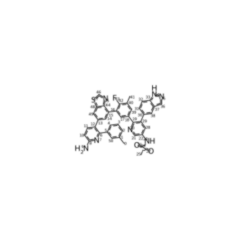 Cc1cccc(-c2nc(N)ccc2-c2cc(-c3cc(-c4ncc(NS(C)(=O)=O)cc4-c4ccc5[nH]ncc5c4)cc(C)c3F)c3ncsc3c2)c1